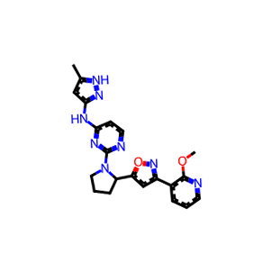 COc1ncccc1-c1cc(C2CCCN2c2nccc(Nc3cc(C)[nH]n3)n2)on1